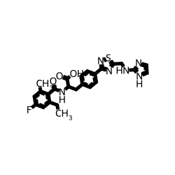 CCc1cc(F)cc(C)c1C(=O)NC(Cc1ccc(-c2nsc(CNc3ncc[nH]3)n2)cc1)C(=O)O